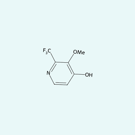 COc1c(O)ccnc1C(F)(F)F